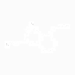 N#CC(C#N)=CC1=C(Cl)C(=CO)CCC1